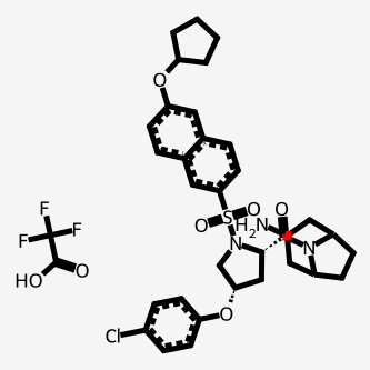 NC1CC2CCC(C1)N2C(=O)[C@@H]1C[C@H](Oc2ccc(Cl)cc2)CN1S(=O)(=O)c1ccc2cc(OC3CCCC3)ccc2c1.O=C(O)C(F)(F)F